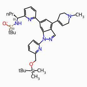 CCC[C@H](N[S@+]([O-])C(C)(C)C)c1cccc(-c2cc(C3=CCN(C)CC3)c3cnn(-c4cccc(CO[Si](C)(C)C(C)(C)C)n4)c3c2)n1